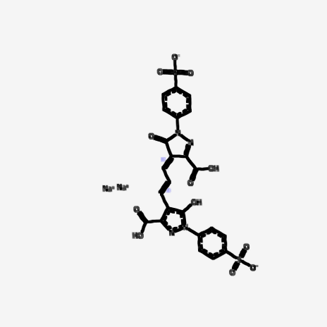 O=C(O)C1=NN(c2ccc(S(=O)(=O)[O-])cc2)C(=O)/C1=C/C=C/c1c(C(=O)O)nn(-c2ccc(S(=O)(=O)[O-])cc2)c1O.[Na+].[Na+]